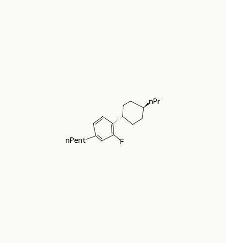 CCCCCc1ccc([C@H]2CC[C@H](CCC)CC2)c(F)c1